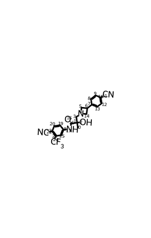 CC(O)(CN1CC(c2ccc(C#N)cc2)C1)C(=O)Nc1ccc(C#N)c(C(F)(F)F)c1